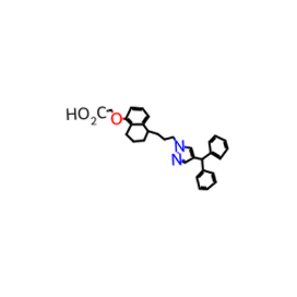 O=C(O)COc1cccc2c1CCCC2CCCn1cc(C(c2ccccc2)c2ccccc2)cn1